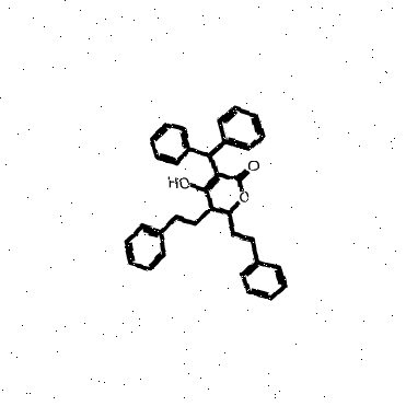 O=C1OC(CCc2ccccc2)C(CCc2ccccc2)C(O)=C1C(c1ccccc1)c1ccccc1